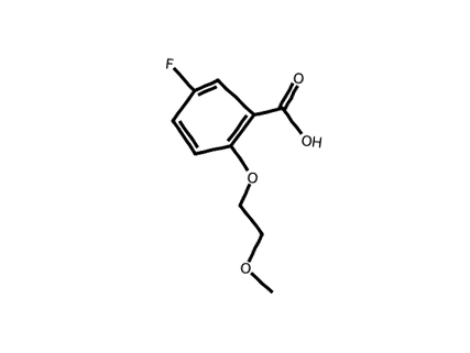 COCCOc1ccc(F)cc1C(=O)O